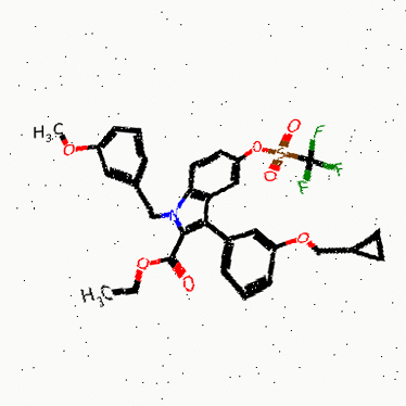 CCOC(=O)c1c(-c2cccc(OCC3CC3)c2)c2cc(OS(=O)(=O)C(F)(F)F)ccc2n1Cc1cccc(OC)c1